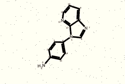 Nc1ccc(-n2cnc3cccnc32)cc1